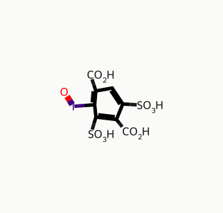 O=Ic1c(C(=O)O)cc(S(=O)(=O)O)c(C(=O)O)c1S(=O)(=O)O